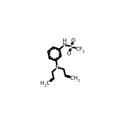 C=CCN(CC=C)c1cccc(NS(=O)(=O)C(F)(F)F)c1